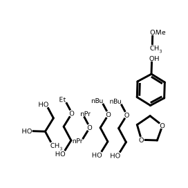 C1COCO1.CC(O)CO.CCCCOCCO.CCCCOCCO.CCCOCCC.CCOCCO.COC.Oc1ccccc1